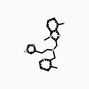 Cc1cccnc1CN(CCc1c[nH]cn1)Cc1nc2c(F)cccc2n1C